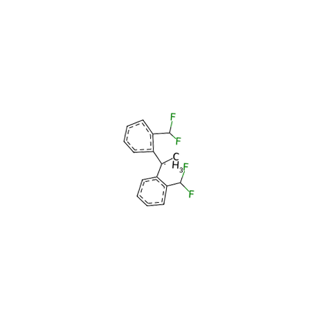 C[C](c1ccccc1C(F)F)c1ccccc1C(F)F